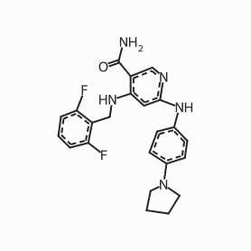 NC(=O)c1cnc(Nc2ccc(N3CCCC3)cc2)cc1NCc1c(F)cccc1F